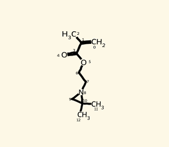 C=C(C)C(=O)OCCN1CC1(C)C